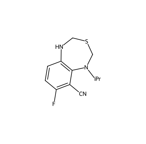 CC(C)N1CSCNc2ccc(F)c(C#N)c21